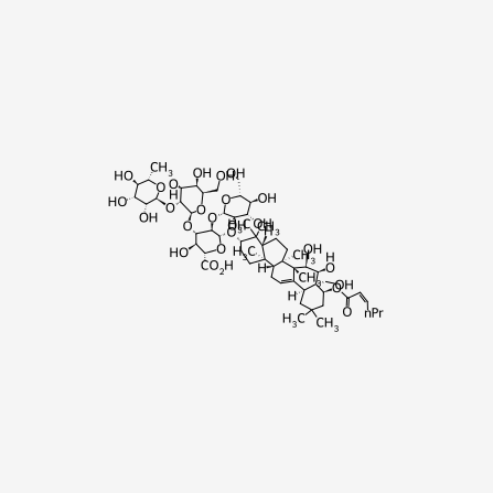 CCC/C=C\C(=O)O[C@H]1CC(C)(C)C[C@H]2C3=CC[C@@H]4[C@@]5(C)CC[C@H](O[C@@H]6O[C@H](C(=O)O)[C@@H](O)[C@H](O[C@@H]7O[C@H](CO)[C@H](O)[C@H](O)[C@H]7O[C@@H]7O[C@@H](C)[C@H](O)[C@@H](O)[C@H]7O)[C@H]6O[C@@H]6O[C@H](CO)[C@@H](O)[C@H](O)[C@H]6O)C(C)(C)[C@@H]5CC[C@@]4(C)[C@]3(C)[C@@H](O)[C@@H](O)[C@@]12CO